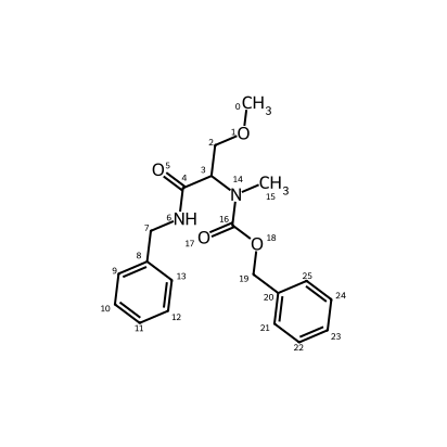 COCC(C(=O)NCc1ccccc1)N(C)C(=O)OCc1ccccc1